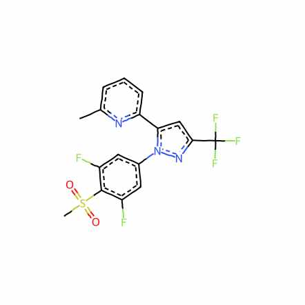 Cc1cccc(-c2cc(C(F)(F)F)nn2-c2cc(F)c(S(C)(=O)=O)c(F)c2)n1